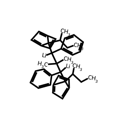 [Li][C](c1ccccc1)(C1(C(C)CC)C2=CC=C1C=C2)C(C)(C)[C]([Li])(c1ccccc1)C1(C(C)CC)C2=CC=C1C=C2